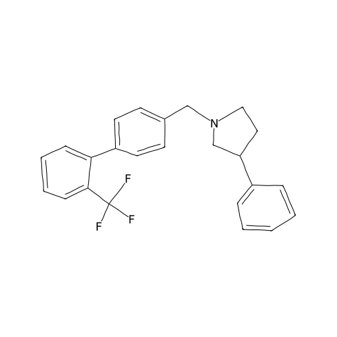 FC(F)(F)c1ccccc1-c1ccc(CN2CCC(c3ccccc3)C2)cc1